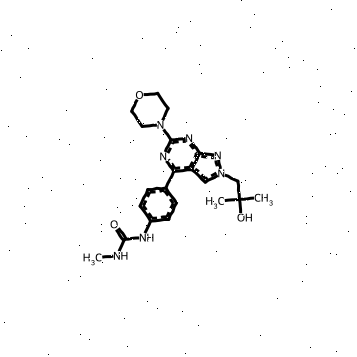 CNC(=O)Nc1ccc(-c2nc(N3CCOCC3)nc3nn(CC(C)(C)O)cc23)cc1